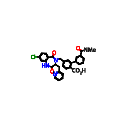 CNC(=O)c1cccc(-c2cc(CN3C(=O)c4ccc(Cl)cc4NC(=O)C3Cc3ccccn3)ccc2C(=O)O)c1